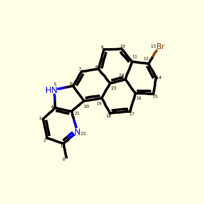 Cc1ccc2[nH]c3cc4ccc5c(Br)ccc6ccc(c3c2n1)c4c65